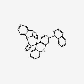 c1ccc2c(c1)Sc1cc(-c3cccc4ccccc34)ccc1C21c2ccccc2-n2c3ccccc3c3cccc1c32